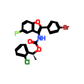 C[C@@H](OC(=O)Nc1c(-c2ccc(Br)cc2)oc2ccc(F)cc12)c1ccccc1Cl